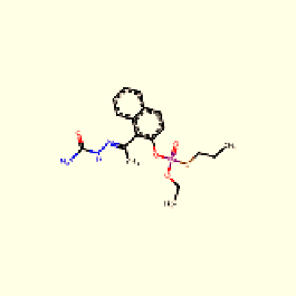 CCCSP(=O)(OCC)Oc1ccc2ccccc2c1C(C)=NNC(N)=O